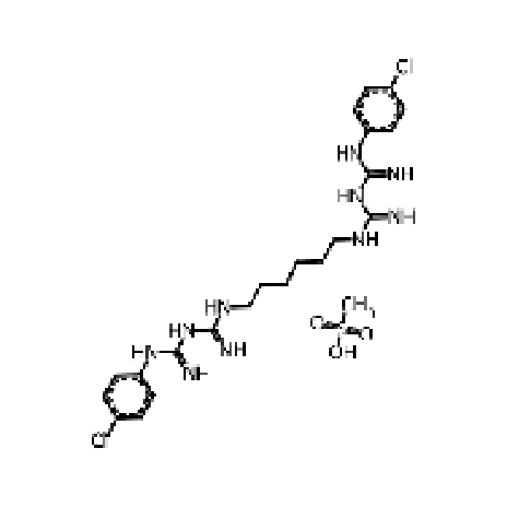 CS(=O)(=O)O.N=C(NCCCCCCNC(=N)NC(=N)Nc1ccc(Cl)cc1)NC(=N)Nc1ccc(Cl)cc1